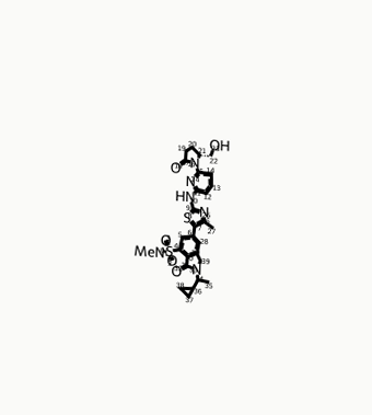 CNS(=O)(=O)c1cc(-c2sc(Nc3cccc(N4C(=O)CC[C@@H]4CO)n3)nc2C)cc2c1C(=O)N(C(C)C1CC1)C2